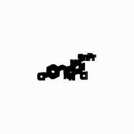 CCCSc1nc(Cl)c2nnn(Cc3ccc(Cl)cc3)c2n1